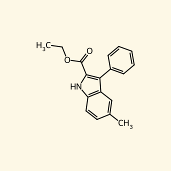 CCOC(=O)c1[nH]c2ccc(C)cc2c1-c1ccccc1